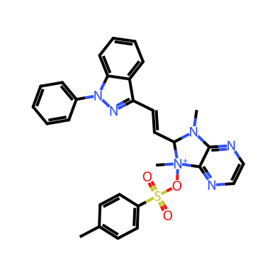 Cc1ccc(S(=O)(=O)O[N+]2(C)c3nccnc3N(C)C2C=Cc2nn(-c3ccccc3)c3ccccc23)cc1